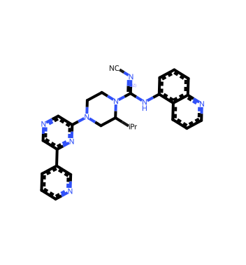 CC(C)C1CN(c2cncc(-c3cccnc3)n2)CCN1/C(=N\C#N)Nc1cccc2ncccc12